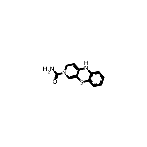 NC(=O)N1C=C2Sc3ccccc3NC2=CC1